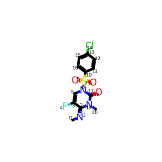 C/N=c1\c(F)cn(S(=O)(=O)c2ccc(Cl)cc2)c(=O)n1C